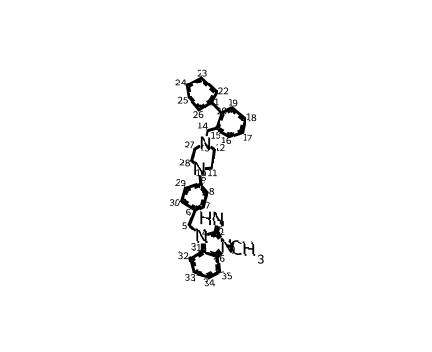 Cn1c(=N)n(Cc2ccc(N3CCN(Cc4ccccc4-c4ccccc4)CC3)cc2)c2ccccc21